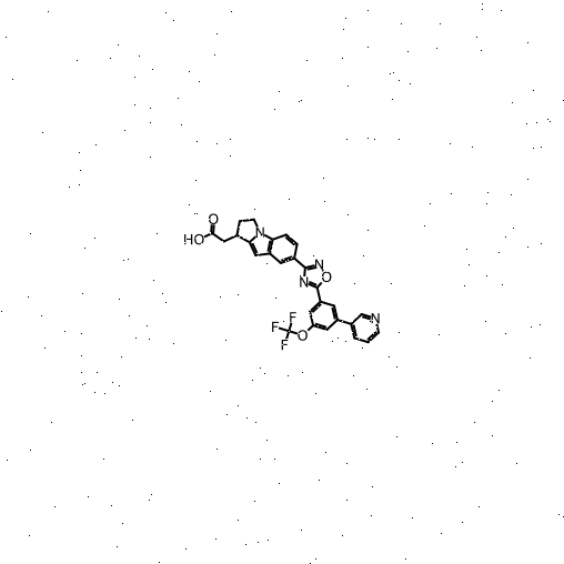 O=C(O)CC1CCn2c1cc1cc(-c3noc(-c4cc(OC(F)(F)F)cc(-c5cccnc5)c4)n3)ccc12